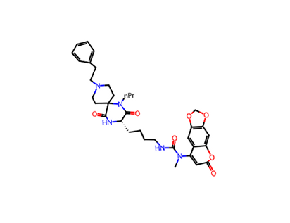 CCCN1C(=O)[C@H](CCCCNC(=O)N(C)c2cc(=O)oc3cc4c(cc23)OCO4)NC(=O)C12CCN(CCc1ccccc1)CC2